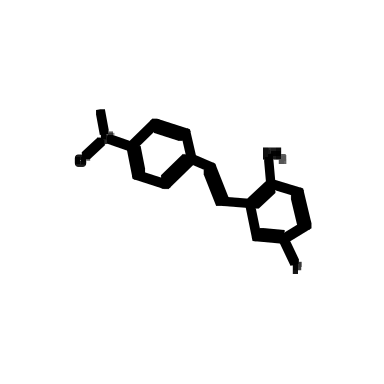 C[S+]([O-])c1ccc(C=Cc2cc(F)ccc2N)cc1